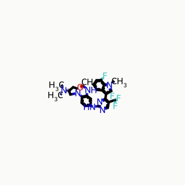 CC(=O)Nc1cc(Nc2ncc(C(F)(F)F)c(-c3cn(C)c4c(F)cccc34)n2)ccc1N1CC[C@H](N(C)C)C1